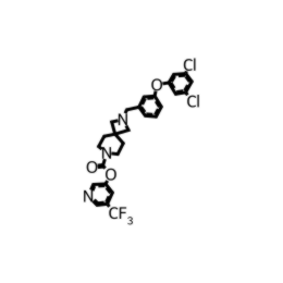 O=C(Oc1cncc(C(F)(F)F)c1)N1CCC2(CC1)CN(Cc1cccc(Oc3cc(Cl)cc(Cl)c3)c1)C2